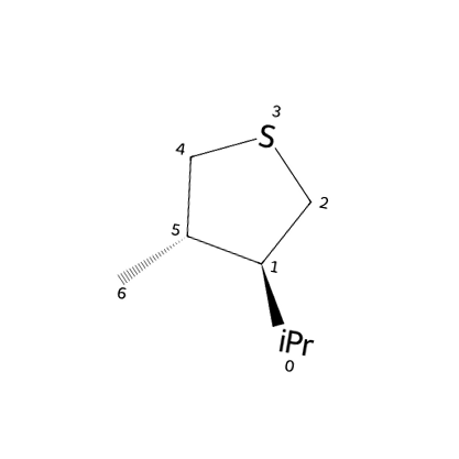 CC(C)[C@@H]1CSC[C@H]1C